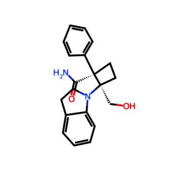 NC(=O)[C@]1(c2ccccc2)CC[C@@]1(CO)N1CCc2ccccc21